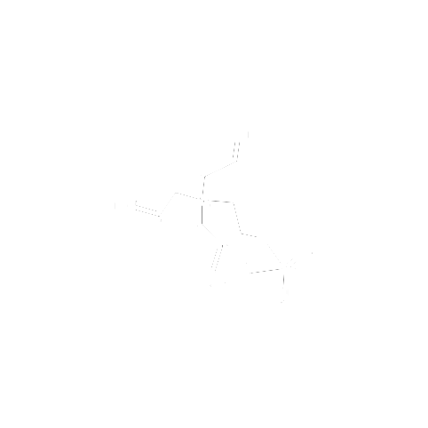 C=CC[N+](CC=C)(CC=C)CCOP(=O)(O)O